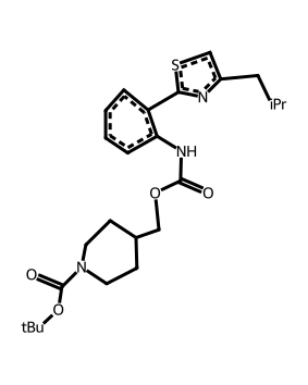 CC(C)Cc1csc(-c2ccccc2NC(=O)OCC2CCN(C(=O)OC(C)(C)C)CC2)n1